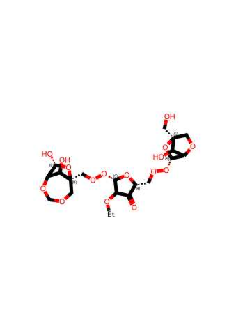 CCOC1C(=O)[C@@H](COO[C@@H]2O[C@@]3(CO)COC2C3O)O[C@H]1OOC[C@]12COCOC(C1O)[C@H](O)O2